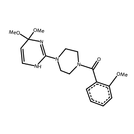 COc1ccccc1C(=O)N1CCN(C2=NC(OC)(OC)C=CN2)CC1